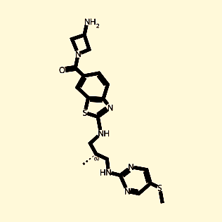 CSc1cnc(NC[C@H](C)CNc2nc3ccc(C(=O)N4CC(N)C4)cc3s2)nc1